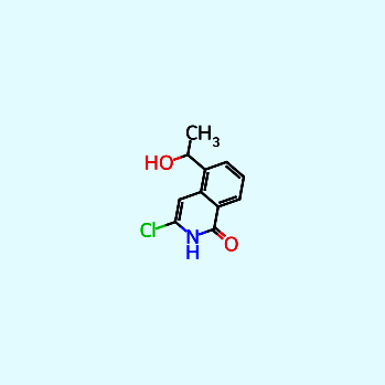 CC(O)c1cccc2c(=O)[nH]c(Cl)cc12